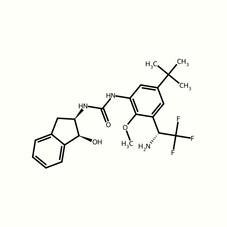 COc1c(NC(=O)N[C@@H]2Cc3ccccc3[C@@H]2O)cc(C(C)(C)C)cc1[C@@H](N)C(F)(F)F